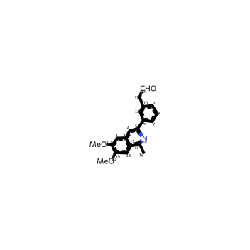 COc1cc2cc(-c3cccc(CC=O)c3)nc(C)c2cc1OC